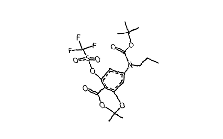 CCCN(C(=O)OC(C)(C)C)c1cc2c(c(OS(=O)(=O)C(F)(F)F)c1)C(=O)OC(C)(C)O2